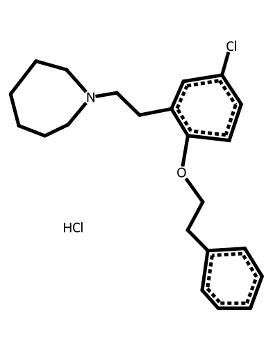 Cl.Clc1ccc(OCCc2ccccc2)c(CCN2CCCCCC2)c1